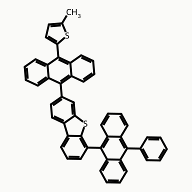 Cc1ccc(-c2c3ccccc3c(-c3ccc4c(c3)sc3c(-c5c6ccccc6c(-c6ccccc6)c6ccccc56)cccc34)c3ccccc23)s1